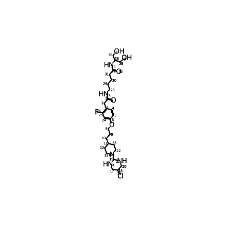 O=C(Cc1ccc(OCCCC2CCN(C3NCC(Cl)CN3)CC2)cc1F)NCCCCC(=O)NC(CO)CO